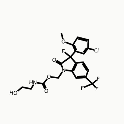 COc1ccc(Cl)cc1C1(F)C(=O)N(COC(=O)NCCO)c2cc(C(F)(F)F)ccc21